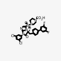 C[C@@]1(Cc2ccc(-c3cc(F)cc(F)c3)cc2)C(=O)N(c2cc(Cl)cc(Cl)c2)c2ncc(S(=O)(=O)N3CCN(C(=O)O)CC3)n21